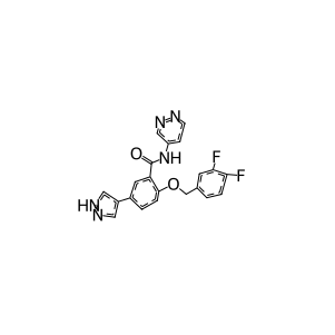 O=C(Nc1ccnnc1)c1cc(-c2cn[nH]c2)ccc1OCc1ccc(F)c(F)c1